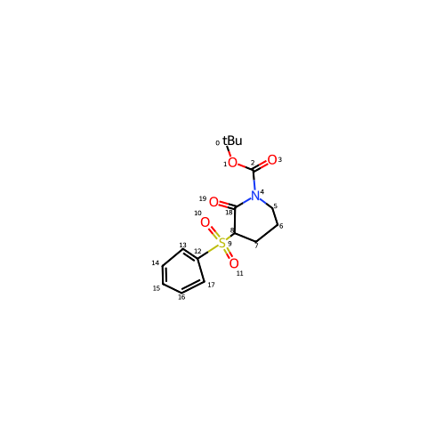 CC(C)(C)OC(=O)N1CCCC(S(=O)(=O)c2ccccc2)C1=O